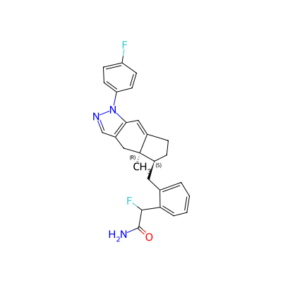 C[C@]12Cc3cnn(-c4ccc(F)cc4)c3C=C1CC[C@H]2Cc1ccccc1C(F)C(N)=O